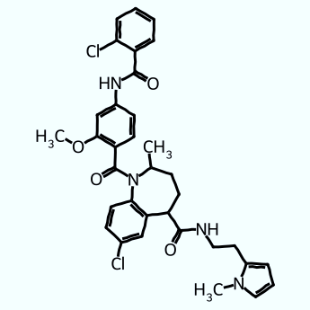 COc1cc(NC(=O)c2ccccc2Cl)ccc1C(=O)N1c2ccc(Cl)cc2C(C(=O)NCCc2cccn2C)CCC1C